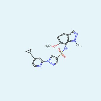 COc1ccc2cnn(C)c2c1NS(=O)(=O)c1cnn(-c2cc(C3CC3)ccn2)c1